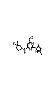 Cc1cc(C)n(-c2nc(C=O)cc(NC3CCC(F)(F)C3)n2)n1